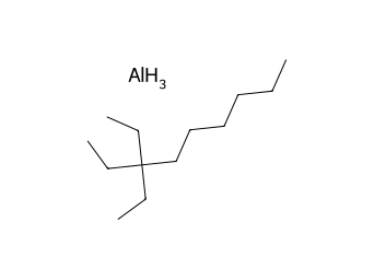 CCCCCCC(CC)(CC)CC.[AlH3]